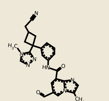 Cc1cnc2c(C(=O)Nc3cccc(C4(c5nncn5C)CC(CC#N)C4)c3)cc(C=O)cn12